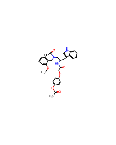 COc1ccccc1CN(CC(Cc1c[nH]c2ccccc12)NC(=O)COc1ccc(OC(C)=O)cc1)C(C)=O